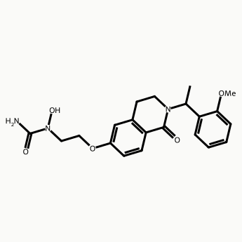 COc1ccccc1C(C)N1CCc2cc(OCCN(O)C(N)=O)ccc2C1=O